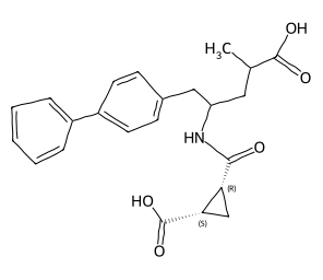 CC(CC(Cc1ccc(-c2ccccc2)cc1)NC(=O)[C@@H]1C[C@@H]1C(=O)O)C(=O)O